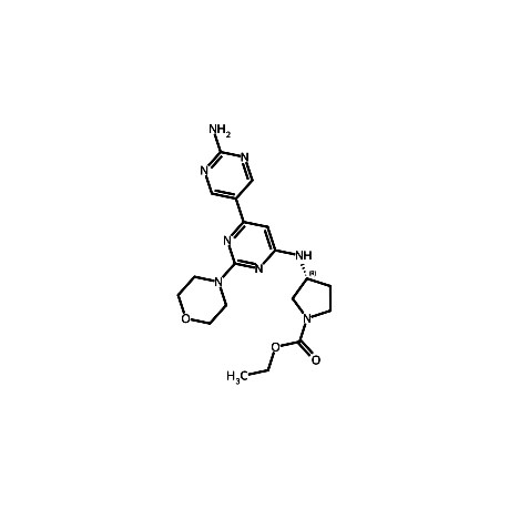 CCOC(=O)N1CC[C@@H](Nc2cc(-c3cnc(N)nc3)nc(N3CCOCC3)n2)C1